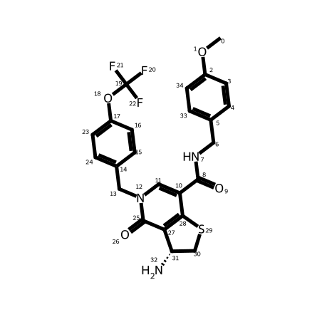 COc1ccc(CNC(=O)c2cn(Cc3ccc(OC(F)(F)F)cc3)c(=O)c3c2SC[C@@H]3N)cc1